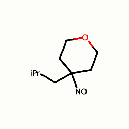 CC(C)CC1(N=O)CCOCC1